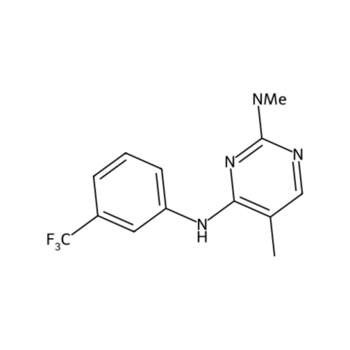 CNc1ncc(C)c(Nc2cccc(C(F)(F)F)c2)n1